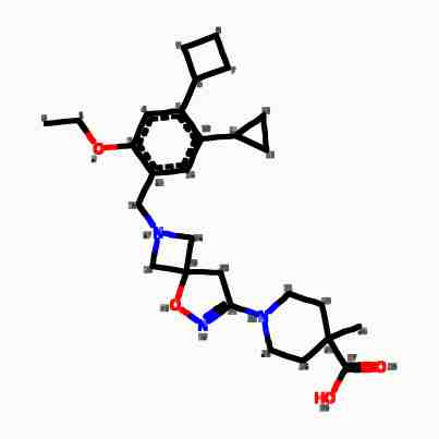 CCOc1cc(C2CCC2)c(C2CC2)cc1CN1CC2(CC(N3CCC(C)(C(=O)O)CC3)=NO2)C1